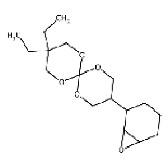 CCC1(CC)COC2(OCC(C3CCCC4OC43)CO2)OC1